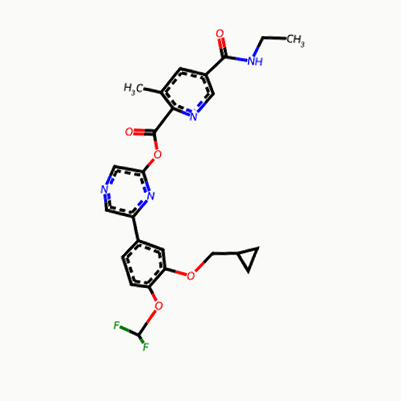 CCNC(=O)c1cnc(C(=O)Oc2cncc(-c3ccc(OC(F)F)c(OCC4CC4)c3)n2)c(C)c1